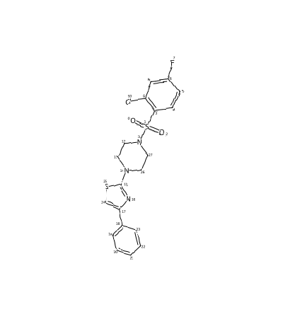 O=S(=O)(c1ccc(F)cc1Cl)N1CCN(c2nc(-c3ccccc3)cs2)CC1